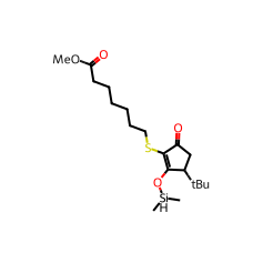 COC(=O)CCCCCCSC1=C(O[SiH](C)C)C(C(C)(C)C)CC1=O